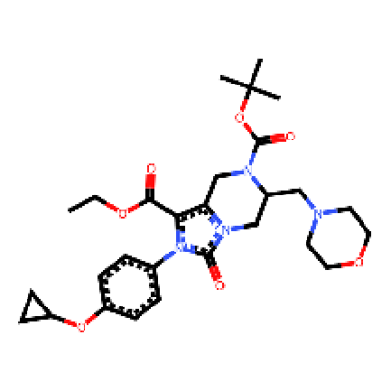 CCOC(=O)c1c2n(c(=O)n1-c1ccc(OC3CC3)cc1)CC(CN1CCOCC1)N(C(=O)OC(C)(C)C)C2